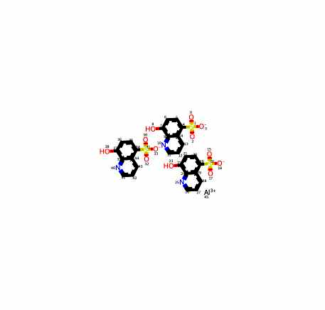 O=S(=O)([O-])c1ccc(O)c2ncccc12.O=S(=O)([O-])c1ccc(O)c2ncccc12.O=S(=O)([O-])c1ccc(O)c2ncccc12.[Al+3]